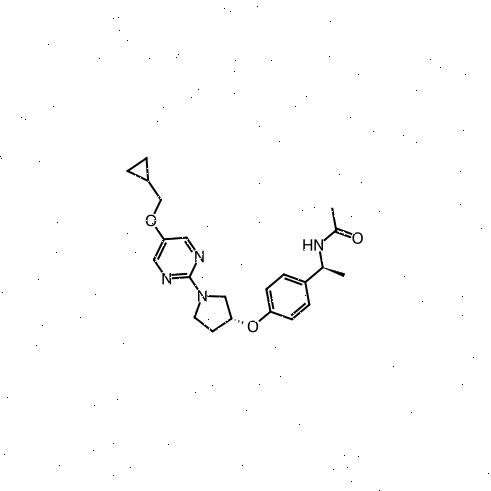 CC(=O)N[C@@H](C)c1ccc(O[C@@H]2CCN(c3ncc(OCC4CC4)cn3)C2)cc1